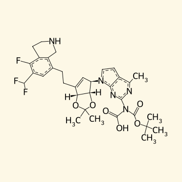 Cc1nc(N(C(=O)O)C(=O)OC(C)(C)C)nc2c1ccn2[C@@H]1C=C(CCc2cc(C(F)F)c(F)c3c2CNCC3)[C@H]2OC(C)(C)O[C@H]21